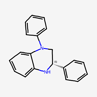 c1ccc([C@H]2CN(c3ccccc3)c3ccccc3N2)cc1